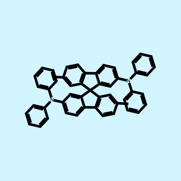 Cc1ccc2c(c1)C1(c3cc(C)ccc3-c3ccc(N(c4ccccc4)c4ccccc4)cc31)c1cc(N(c3ccccc3)c3ccccc3)ccc1-2